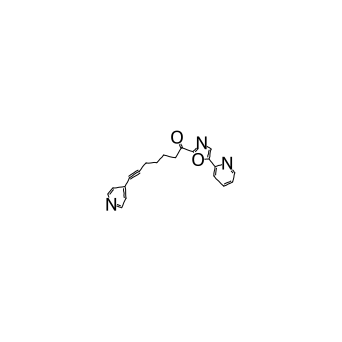 O=C(CCCCC#Cc1ccncc1)c1ncc(-c2ccccn2)o1